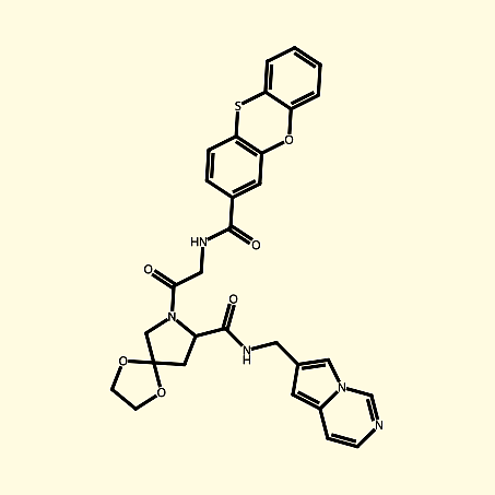 O=C(NCC(=O)N1CC2(CC1C(=O)NCc1cc3ccncn3c1)OCCO2)c1ccc2c(c1)Oc1ccccc1S2